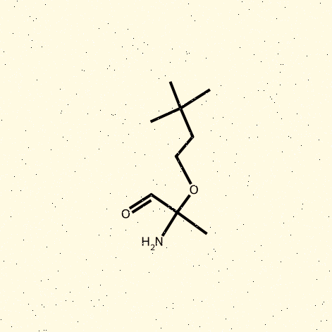 CC(C)(C)CCOC(C)(N)C=O